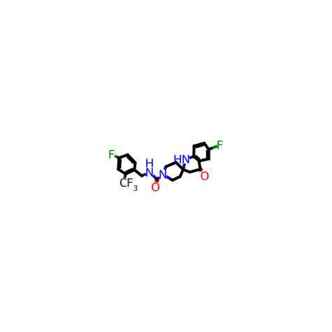 O=C1CC2(CCN(C(=O)NCc3ccc(F)cc3C(F)(F)F)CC2)Nc2ccc(F)cc21